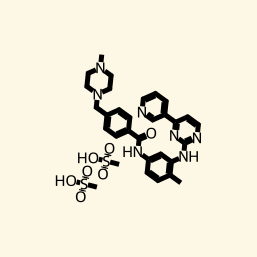 CS(=O)(=O)O.CS(=O)(=O)O.Cc1ccc(NC(=O)c2ccc(CN3CCN(C)CC3)cc2)cc1Nc1nccc(-c2cccnc2)n1